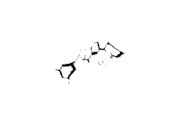 CCCCN1CCCC1c1cncc(C(=S)Nc2cc(F)cc(F)c2)c1